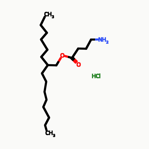 CCCCCCCCC(CCCCCC)COC(=O)CCCN.Cl